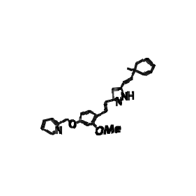 COc1cc(OCc2ccccn2)ccc1/C=C/c1cc(/C=C/C2(C)C=CC=CC2)[nH]n1